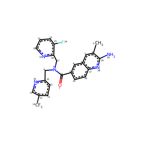 Cc1cc2cc(C(=O)N(Cc3ccc(C(F)(F)F)cn3)Cc3ncccc3F)ccc2nc1N